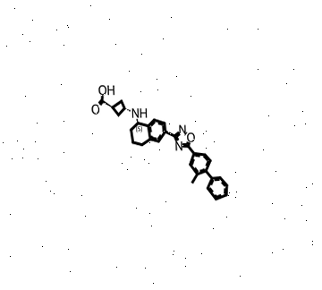 Cc1cc(-c2nc(-c3ccc4c(c3)CCC[C@@H]4N[C@H]3C[C@H](C(=O)O)C3)no2)ccc1-c1ccccc1